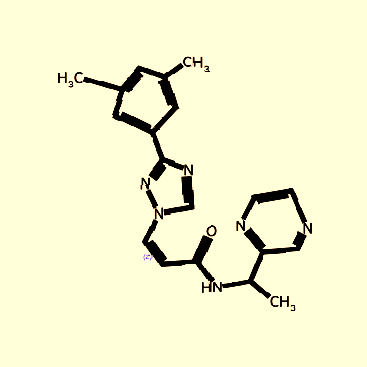 Cc1cc(C)cc(-c2ncn(/C=C\C(=O)NC(C)c3cnccn3)n2)c1